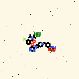 CC(C)N(C(=O)c1cc(F)ccc1Oc1cncnc1N1CC2(CCN(CC3CCC(NS(C)(=O)=O)CC3)CC2)C1)C(C)C.Cl.Cl